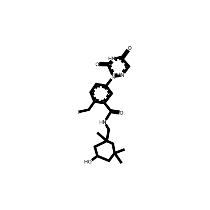 CC1(C)CC(O)CC(C)(CNC(=O)c2cc(-n3ncc(=O)[nH]c3=O)ccc2CI)C1